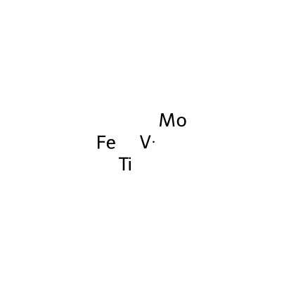 [Fe].[Mo].[Ti].[V]